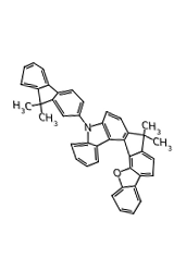 CC1(C)c2ccccc2-c2ccc(-n3c4ccccc4c4c5c(ccc43)C(C)(C)c3ccc4c(oc6ccccc64)c3-5)cc21